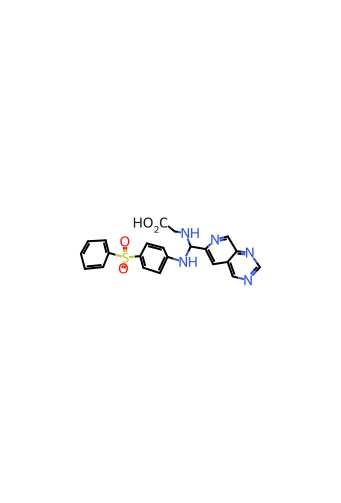 O=C(O)CNC(Nc1ccc(S(=O)(=O)c2ccccc2)cc1)c1cc2cncnc2cn1